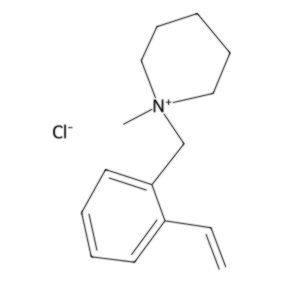 C=Cc1ccccc1C[N+]1(C)CCCCC1.[Cl-]